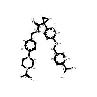 CC(=O)N1CCN(c2ccc(CNC(=O)C3(c4ccc(OCc5ccc(C(F)F)nc5)nn4)CC3)cn2)CC1